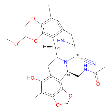 COCOc1c(OC)c(C)cc2c1[C@@H]1NC(C2)[C@H](C#N)N2C1Cc1c(O)c(C)c3c(c1[C@@H]2CNC(C)=O)OCO3